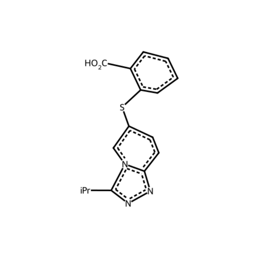 CC(C)c1nnc2ccc(Sc3ccccc3C(=O)O)cn12